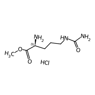 COC(=O)[C@@H](N)CCCNC(N)=O.Cl